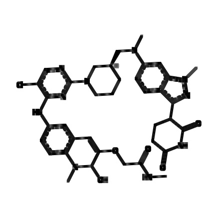 CNC(=O)COC1=Cc2cc(Nc3nc(N4CCC[C@H](CN(C)c5ccc6c(C7CCC(=O)NC7=O)nn(C)c6c5)C4)ncc3Cl)ccc2N(C)C1O